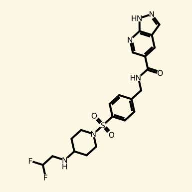 O=C(NCc1ccc(S(=O)(=O)N2CCC(NCC(F)F)CC2)cc1)c1cnc2[nH]ncc2c1